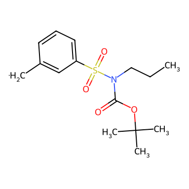 [CH2]c1cccc(S(=O)(=O)N(CCC)C(=O)OC(C)(C)C)c1